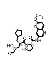 COc1ccc2ncc(NC(=O)[C@@H]3CCNN3C(=O)[C@H](CC3CCCC3)CN(O)C=O)cc2n1